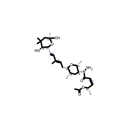 CC(=O)O[C@@H](C)/C=C\C(=O)N(N)[C@@H]1C[C@H](C)[C@H](C/C=C(C)/C=C/[C@H]2O[C@](C)(O)CC(C)(C)[C@@H]2O)O[C@@H]1C